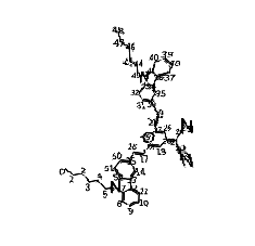 CCCCCCn1c2ccccc2c2cc(C=CC3=CC(=C(C#N)C#N)C=C(C=Cc4ccc5c(c4)c4ccccc4n5CCCCCC)O3)ccc21